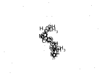 CC(C)(O)COc1cc(-c2ccc(N3C[C@@H]4C[C@@](C)(NC(=O)c5ncccc5F)C[C@@H]4C3)nc2)c2c(C#N)cnn2c1